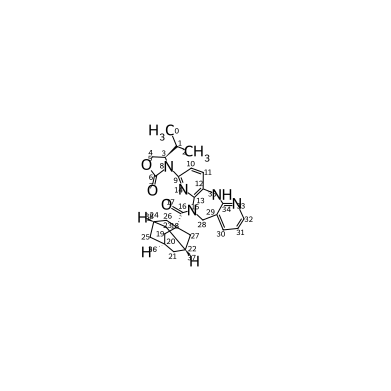 CC(C)[C@@H]1COC(=O)N1c1ccc2c(n1)N(C(=O)[C@]13C[C@H]4C[C@H](C[C@H](C4)C1)C3)Cc1cccnc1N2